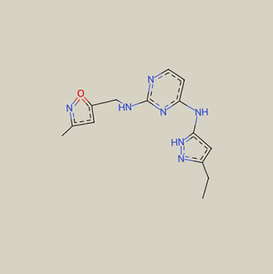 CCc1cc(Nc2ccnc(NCc3cc(C)no3)n2)[nH]n1